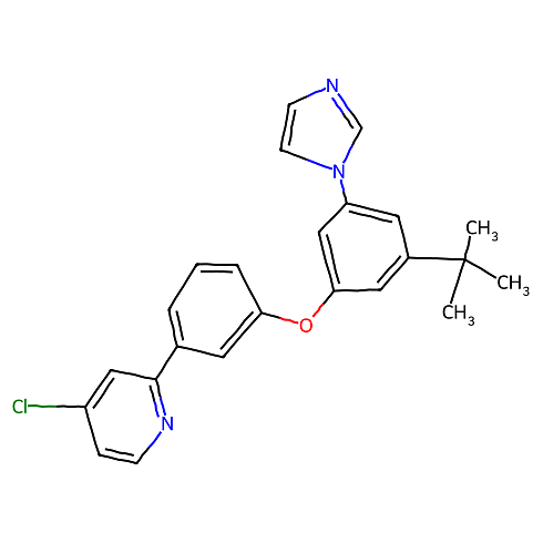 CC(C)(C)c1cc(Oc2cccc(-c3cc(Cl)ccn3)c2)cc(-n2ccnc2)c1